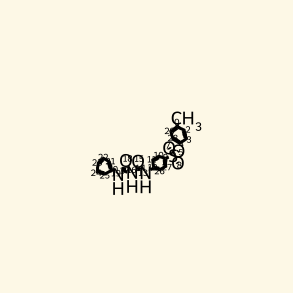 Cc1ccc(OS(=O)(=O)c2ccc(NC(=O)NC(=O)Nc3ccccc3)cc2)cc1